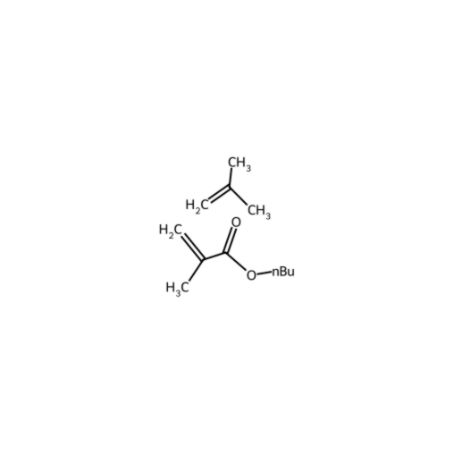 C=C(C)C.C=C(C)C(=O)OCCCC